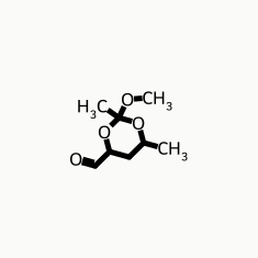 COC1(C)OC(C)CC(C=O)O1